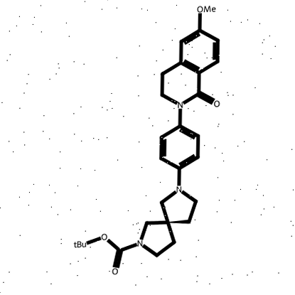 COc1ccc2c(c1)CCN(c1ccc(N3CC[C@]4(CCN(C(=O)OC(C)(C)C)C4)C3)cc1)C2=O